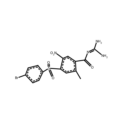 Cc1cc(S(=O)(=O)c2ccc(Br)cc2)c([N+](=O)[O-])cc1C(=O)N=C(N)N